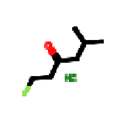 CC(C)CC(=O)CCF.Cl